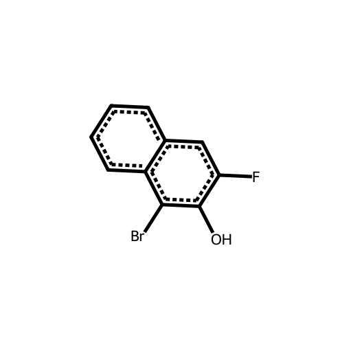 Oc1c(F)cc2ccccc2c1Br